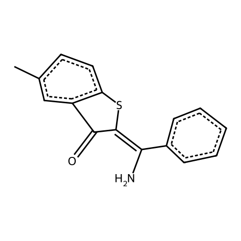 Cc1ccc2c(c1)C(=O)C(=C(N)c1ccccc1)S2